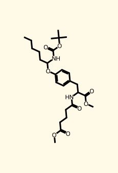 CCCCCC(NC(=O)OC(C)(C)C)Oc1ccc(CC(NC(=O)CCCC(=O)OC)C(=O)OC)cc1